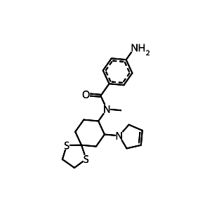 CN(C(=O)c1ccc(N)cc1)C1CCC2(CC1N1CC=CC1)SCCS2